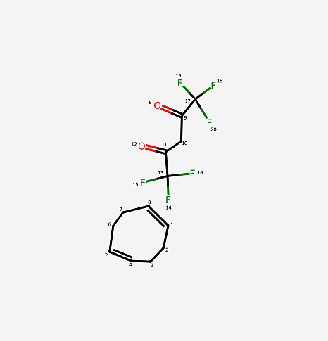 C1=C\CC/C=C\CC/1.O=C(CC(=O)C(F)(F)F)C(F)(F)F